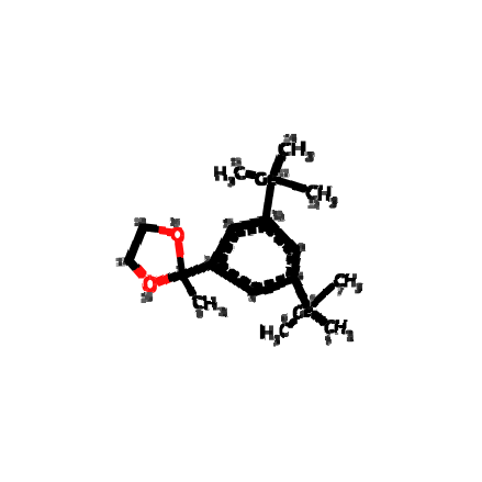 CC1(c2c[c]([Ge]([CH3])([CH3])[CH3])c[c]([Ge]([CH3])([CH3])[CH3])c2)OCCO1